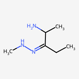 CC/C(=N/NC)C(C)N